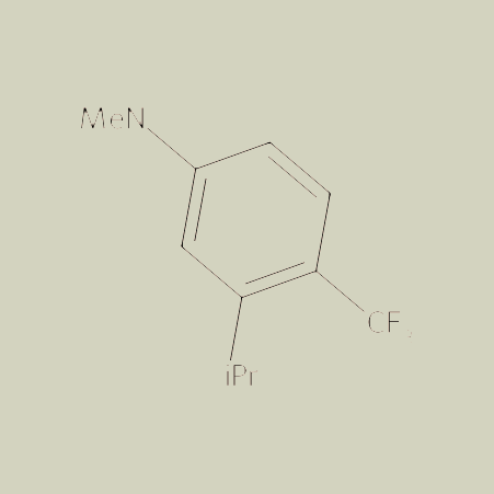 CNc1ccc(C(F)(F)F)c(C(C)C)c1